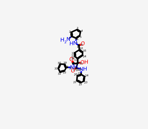 Nc1ccccc1NC(=O)c1ccc(C(O)(C(=O)Nc2ccccc2)C(=O)Nc2ccccc2)cc1